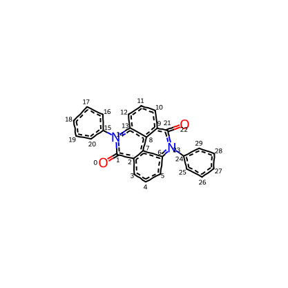 O=c1c2cccc3c2c2c(cccc2n1-c1ccccc1)c(=O)n3-c1ccccc1